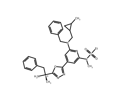 CCS(=O)(=O)N(C)c1cc(-c2nnc([C@](C)(N)Cc3ccccc3)o2)cc(N(Cc2ccccc2)CC2CC2C)n1